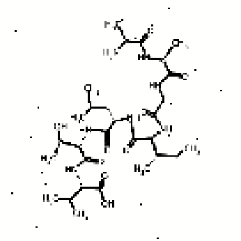 CC[C@H](C)[C@H](NC(=O)CNC(=O)[C@H](C)NC(=O)[C@H](C)N)C(=O)N[C@@H](CC(C)C)C(=O)N[C@H](C(=O)N[C@H](C(=O)O)C(C)C)[C@@H](C)O